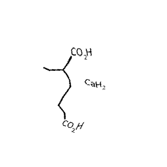 CC(CCC(=O)O)C(=O)O.[CaH2]